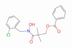 CC(C)(COC(=O)c1ccccc1)C(=O)N(O)Cc1ccccc1Cl